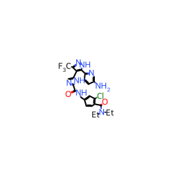 CCN(CC)C(=O)c1ccc(CNC(=O)c2ncc(-c3c(C(F)(F)F)n[nH]c3-c3ccc(N)cn3)[nH]2)cc1Cl